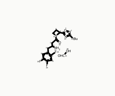 CC(C)(C)c1noc(C2CCN2C(=O)CC(N)Cc2cc(F)c(F)cc2F)n1.O=CO